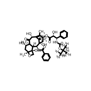 [2H]C([2H])([2H])C(OC(=O)N[C@@H](c1ccccc1)[C@@H](O)C(=O)O[C@H]1C[C@@]2(O)[C@@H](OC(=O)c3ccccc3)[C@H]3[C@](C)(C(=O)[C@H](O)C(=C1C)C2(C)C)[C@@H](O)C[C@@]1(C)OC[C@@]31OC(C)=O)(C([2H])([2H])[2H])C([2H])([2H])[2H]